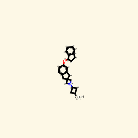 O=C(O)C1CC(N2CC3(Cc4ccc(OC5CCc6ccccc65)cc4C3)C2)C1